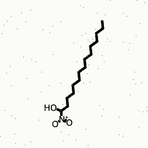 CCCCCCCCCCCCCCC(O)[N+](=O)[O-]